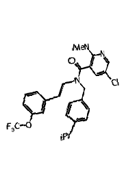 CNc1ncc(Cl)cc1C(=O)N(CCc1cccc(OC(F)(F)F)c1)Cc1ccc(C(C)C)cc1